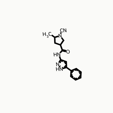 CC1CC(C(=O)Nc2cc(-c3ccccc3)[nH]n2)CN1C#N